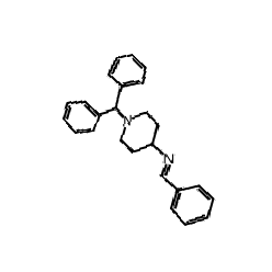 C(=NC1CCN(C(c2ccccc2)c2ccccc2)CC1)c1ccccc1